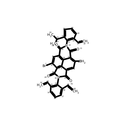 Bc1cc2c3c(c(Br)cc4c3c1C(=O)N(c1c(C=C)cccc1C(C)C)C4=O)C(=O)N(c1c(C=C)cccc1C=C)C2=O